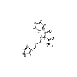 NC(=O)N(OCCCc1c[nH]cn1)C(=O)c1ccccc1